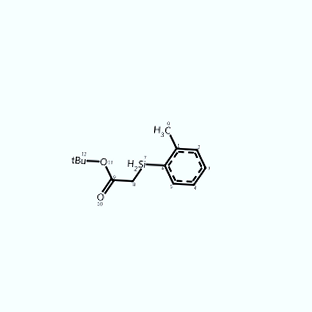 Cc1ccccc1[SiH2]CC(=O)OC(C)(C)C